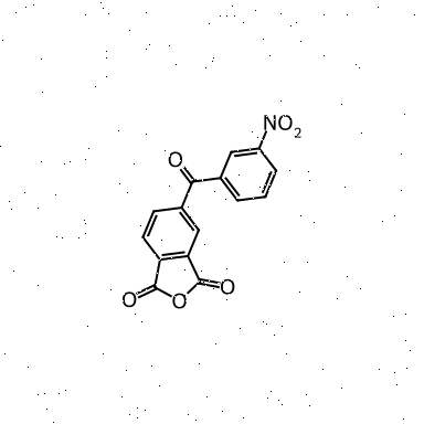 O=C(c1cccc([N+](=O)[O-])c1)c1ccc2c(c1)C(=O)OC2=O